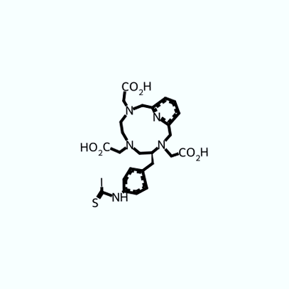 O=C(O)CN1CCN(CC(=O)O)C[C@H](Cc2ccc(NC(=S)I)cc2)N(CC(=O)O)Cc2cccc(n2)C1